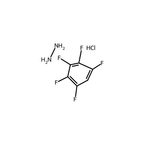 Cl.Fc1cc(F)c(F)c(F)c1F.NN